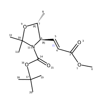 COC(=O)/C=C/[C@@H]1[C@@H](C)OC(C)(C)N1C(=O)OC(C)(C)C